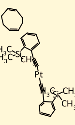 C1=CCCC=CCC1.C[Si](C)(C)c1ccccc1C#[C][Pt][C]#Cc1ccccc1[Si](C)(C)C